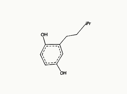 CC(C)CCc1cc(O)ccc1O